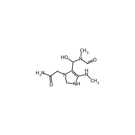 CNC1=C(C(O)N(C)C=O)N(CC(N)=O)CN1